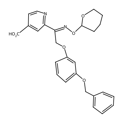 O=C(O)c1ccnc(/C(COc2cccc(OCc3ccccc3)c2)=N/OC2CCCCO2)c1